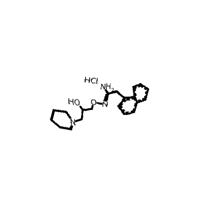 Cl.NC(Cc1cccc2ccccc12)=NOCC(O)CN1CCCCC1